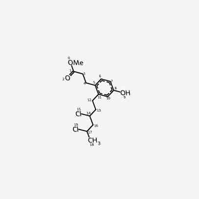 COC(=O)CCc1ccc(O)cc1CCC(Cl)CC(C)Cl